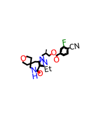 CCc1nn(C[C@@H](C)COC(=O)c2ccc(C#N)c(F)c2)c2c1C(=O)NCC1(CCOCC1)C2